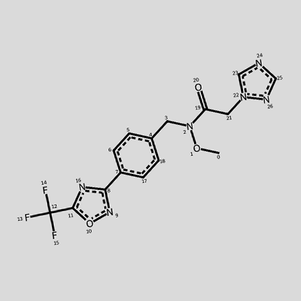 CON(Cc1ccc(-c2noc(C(F)(F)F)n2)cc1)C(=O)Cn1cncn1